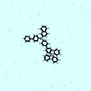 c1ccc(-c2ccc(N(c3ccc(-c4ccc([Si](c5ccccc5)(c5ccccc5)c5ccccc5)cc4)cc3)c3ccc4ccccc4c3)cc2)cc1